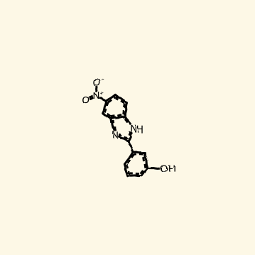 O=[N+]([O-])c1ccc2[nH]c(-c3cccc(O)c3)nc2c1